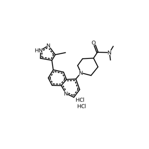 Cc1n[nH]cc1-c1ccc2nccc(N3CCC(C(=O)N(C)C)CC3)c2c1.Cl.Cl